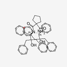 NC(=O)C1(C(=O)N([C@H](c2ccccc2)C(O)(Cc2ccccc2)Cc2ccccc2)[C@H](c2ccccc2)C(O)(Cc2ccccc2)Cc2ccccc2)CCCC1